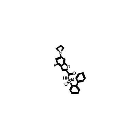 O=C(NS(=O)(=O)c1ccccc1-c1ccccc1)c1cc2c(F)cc(N3CCC3)cc2o1